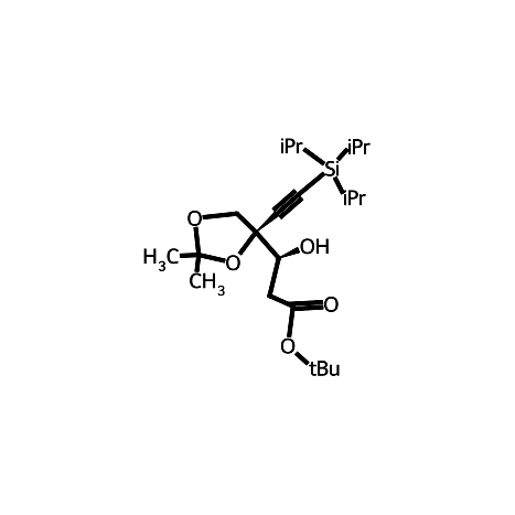 CC(C)[Si](C#C[C@]1([C@@H](O)CC(=O)OC(C)(C)C)COC(C)(C)O1)(C(C)C)C(C)C